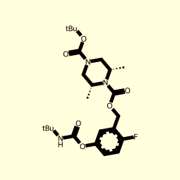 C[C@@H]1CN(C(=O)OC(C)(C)C)C[C@H](C)N1C(=O)OCc1cc(OC(=O)NC(C)(C)C)ccc1F